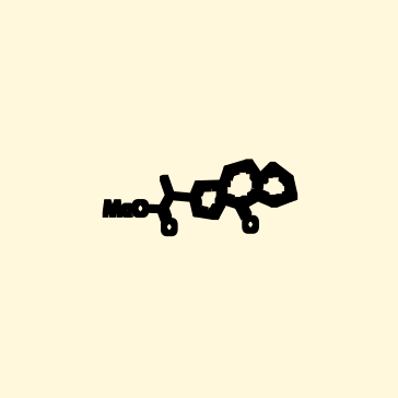 COC(=O)C(C)c1ccc2c(=O)c3ccccc3ccc2c1